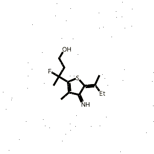 CC/C(C)=C1/SC(C(C)(F)CCO)=C(C)C1=N